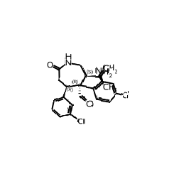 C=C(C)[C@@H]1CNC(=O)C[C@H](c2cccc(Cl)c2)[C@]1(C=O)c1ccc(Cl)cc1N